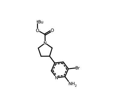 CC(C)(C)OC(=O)N1CCC(c2cnc(N)c(Br)c2)C1